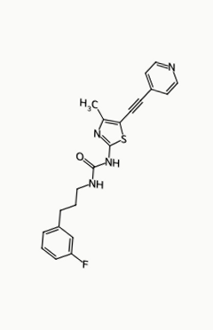 Cc1nc(NC(=O)NCCCc2cccc(F)c2)sc1C#Cc1ccncc1